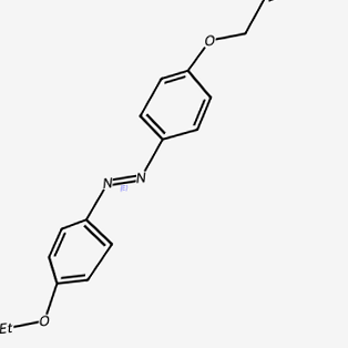 C=CCOc1ccc(/N=N/c2ccc(OCC)cc2)cc1